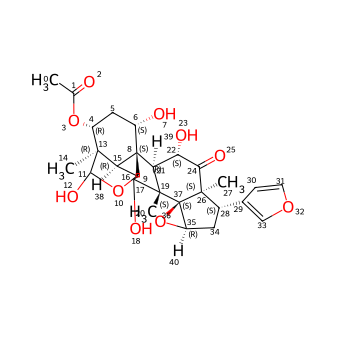 CC(=O)O[C@@H]1C[C@H](O)[C@@]23COC(O)[C@]1(C)[C@@H]2CC(O)[C@]1(C)[C@@H]3[C@H](O)C(=O)[C@@]2(C)[C@H](c3ccoc3)C[C@H]3O[C@]321